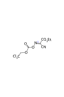 CCOC(=O)/C(C#N)=N/OC(=O)OCC(Cl)(Cl)Cl